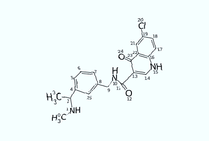 CNC(C)c1cccc(CNC(=O)c2c[nH]c3ccc(Cl)cc3c2=O)c1